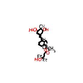 CCC(O)(CC)CCC(=O)O[C@@H](C)[C@H]1CC[C@H]2/C(=C/C=C3C[C@@H](O)C(C)[C@H](O)C3)CCC[C@]12C